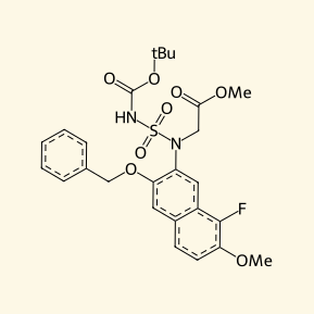 COC(=O)CN(c1cc2c(F)c(OC)ccc2cc1OCc1ccccc1)S(=O)(=O)NC(=O)OC(C)(C)C